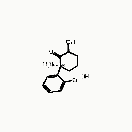 Cl.N[C@@]1(c2ccccc2Cl)CCCC(O)C1=O